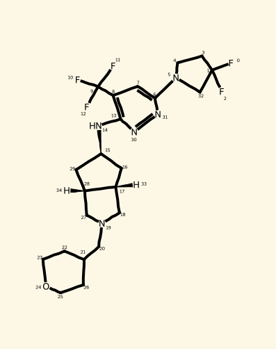 FC1(F)CCN(c2cc(C(F)(F)F)c(N[C@H]3C[C@@H]4CN(CC5CCOCC5)C[C@@H]4C3)nn2)C1